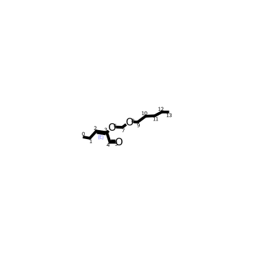 CC/C=C(\C=O)OCOCCCCC